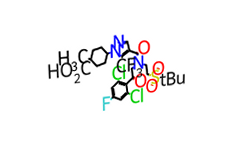 CC1(C(=O)O)CCC(n2ncc(C(=O)N(CCS(=O)(=O)C(C)(C)C)CC(=O)c3c(Cl)cc(F)cc3Cl)c2C(F)(F)F)CC1